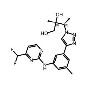 Cc1cc(Nc2nccc(C(F)F)n2)cc(-c2cn([C@H](C)[C@@](C)(O)CO)nn2)c1